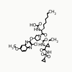 C=CCCCCC[C@H](NC(=O)O)C(=O)N1C[C@H](Oc2nc3cc(OC)ccc3nc2Cl)C[C@H]1C(=O)N[C@]1(C(=O)NS(=O)(=O)C2CC2)C[C@H]1C=C